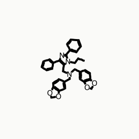 CCCn1c(-c2ccccc2)nc(-c2ccccc2)c1CN(Cc1ccc2c(c1)OCO2)Cc1ccc2c(c1)OCO2